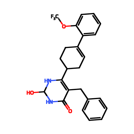 O=C1NC(O)NC(C2CC=C(c3ccccc3OC(F)(F)F)CC2)=C1Cc1ccccc1